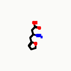 N[C@H](CC(=O)O)CC1=CCCO1